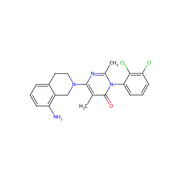 Cc1c(N2CCc3cccc(N)c3C2)nc(C)n(-c2cccc(Cl)c2Cl)c1=O